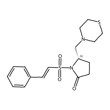 O=C1CC[C@@H](CN2CCSCC2)N1S(=O)(=O)C=Cc1ccccc1